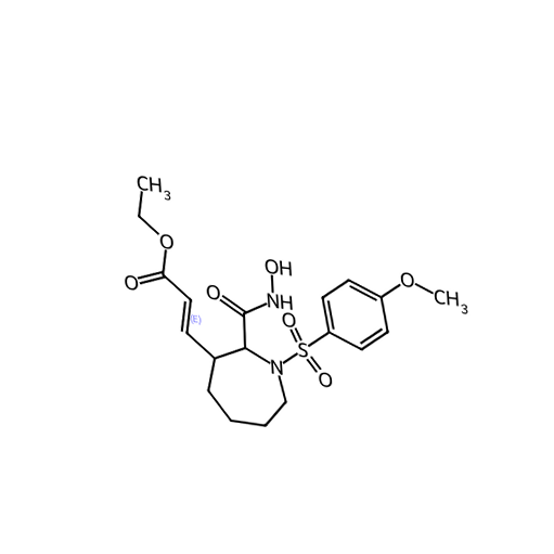 CCOC(=O)/C=C/C1CCCCN(S(=O)(=O)c2ccc(OC)cc2)C1C(=O)NO